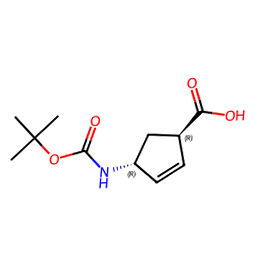 CC(C)(C)OC(=O)N[C@H]1C=C[C@H](C(=O)O)C1